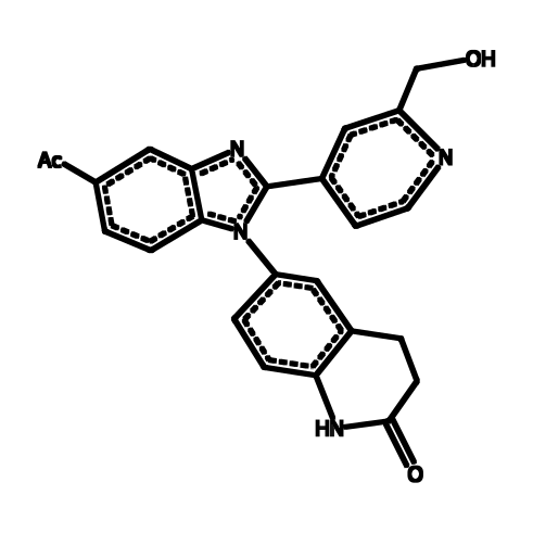 CC(=O)c1ccc2c(c1)nc(-c1ccnc(CO)c1)n2-c1ccc2c(c1)CCC(=O)N2